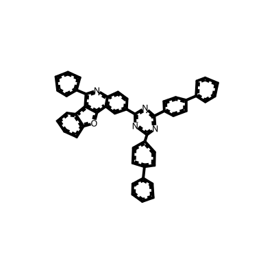 c1ccc(-c2ccc(-c3nc(-c4ccc(-c5ccccc5)cc4)nc(-c4ccc5nc(-c6ccccc6)c6c7ccccc7oc6c5c4)n3)cc2)cc1